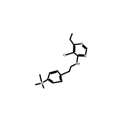 CCc1ncnc(NCCc2ccc([Si](C)(C)C)cc2)c1Cl